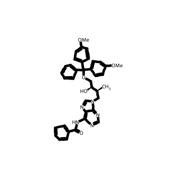 COc1ccc(C(OC[C@H](O)[C@@H](C)Cn2cnc3c(NC(=O)c4ccccc4)ncnc32)(c2ccccc2)c2ccc(OC)cc2)cc1